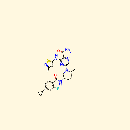 Cc1cc(Nc2nc(N3C[C@@H](NC(=O)c4ccc(C5CC5)cc4F)CC[C@@H]3C)cnc2C(N)=O)sn1